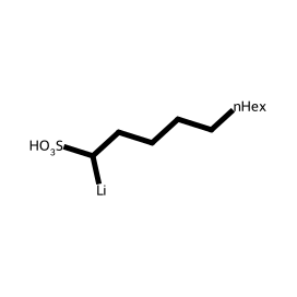 [Li][CH](CCCCCCCCCC)S(=O)(=O)O